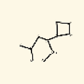 COC(CC(C)C)C1CCC1